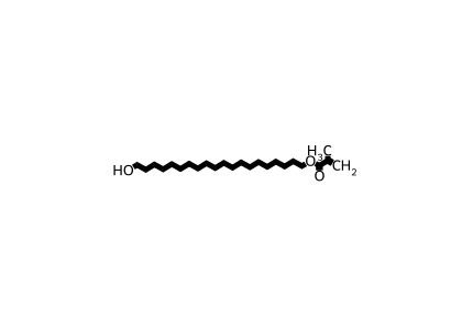 C=C(C)C(=O)OCCCCCCCCCCCCCCCCCCCCO